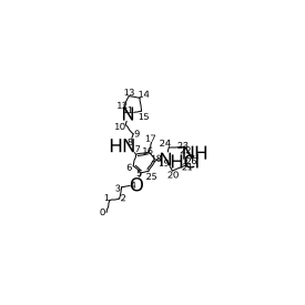 CCCCOc1cc(NCCN2CCCC2)c(C)c(N2CCNCC2)c1.Cl